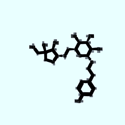 OC[C@@]1(O)CO[C@@H](OC[C@H]2O[C@@H](OCCc3ccc(O)cc3)[C@H](O)[C@@H](O)[C@@H]2O)[C@@H]1O